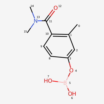 Cc1cc(OB(O)O)ccc1C(=O)N(C)C